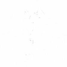 c1ccc(-c2cc([C@@H]3CCCN(CC4CCOC4)C3)ccc2-c2ccccn2)cc1